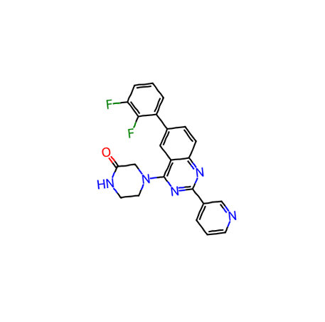 O=C1CN(c2nc(-c3cccnc3)nc3ccc(-c4cccc(F)c4F)cc23)CCN1